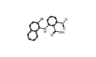 O=C(O)c1c(Nc2c(Br)ccc3ccccc23)cccc1[N+](=O)[O-]